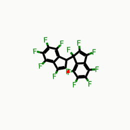 FC1=C(F)C(C2(F)C(F)=C(F)c3c(F)c(F)c(F)c(F)c32)c2c(F)c(F)c(F)c(F)c21